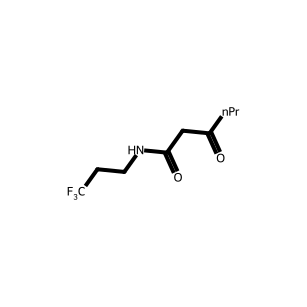 CCCC(=O)CC(=O)NCCC(F)(F)F